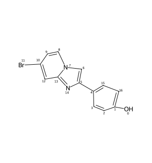 Oc1ccc(-c2cn3ccc(Br)cc3n2)cc1